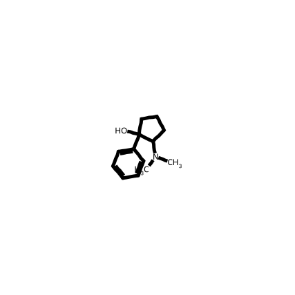 CN(C)C1CCCC1(O)c1ccccc1